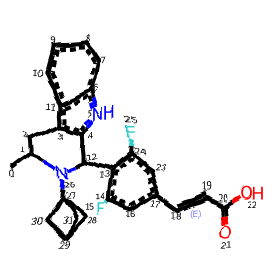 CC1Cc2c([nH]c3ccccc23)C(c2c(F)cc(/C=C/C(=O)O)cc2F)N1C12CC(C1)C2